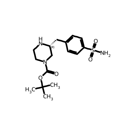 CC(C)(C)OC(=O)N1CCN[C@H](Cc2ccc(S(N)(=O)=O)cc2)C1